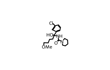 COCCCC[C@@](O)(NC(=O)N1CCCCC1)c1cccc(Cl)c1